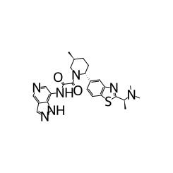 C[C@H]1CC[C@H](c2ccc3sc([C@H](C)N(C)C)nc3c2)N(C(=O)C(=O)Nc2cncc3cn[nH]c23)C1